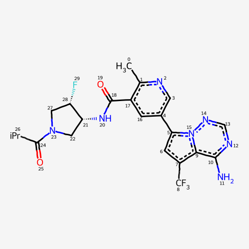 Cc1ncc(-c2cc(C(F)(F)F)c3c(N)ncnn23)cc1C(=O)N[C@@H]1CN(C(=O)C(C)C)C[C@@H]1F